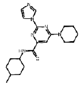 CC1CCC(NC(=O)c2cc(N3CCCCC3)nc(-n3ccnc3)n2)CC1